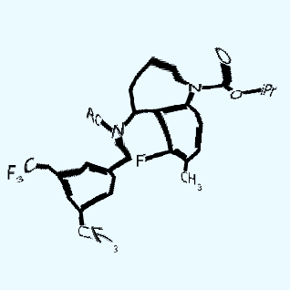 CC(=O)N(Cc1cc(C(F)(F)F)cc(C(F)(F)F)c1)C1CCCN(C(=O)OC(C)C)c2ccc(C)c(F)c21